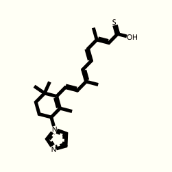 CC(C=CC1=C(C)C(n2ccnc2)CCC1(C)C)=CC=CC(C)=CC(O)=S